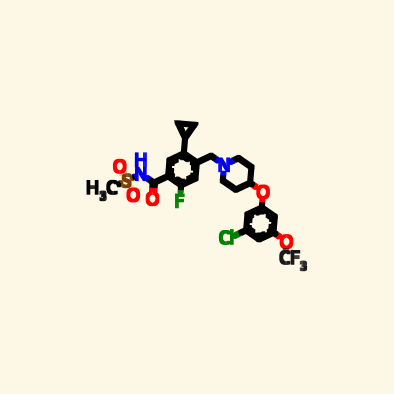 CS(=O)(=O)NC(=O)c1cc(C2CC2)c(CN2CCC(Oc3cc(Cl)cc(OC(F)(F)F)c3)CC2)cc1F